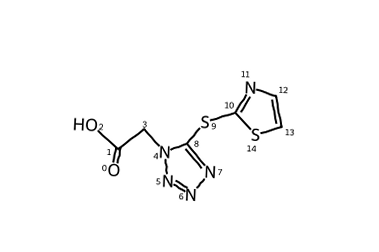 O=C(O)Cn1nnnc1Sc1nccs1